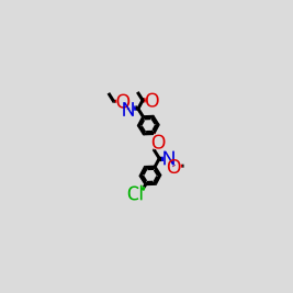 CCON=C(C(C)=O)c1ccc(OCC(=NOC)c2ccc(Cl)cc2)cc1